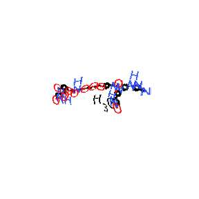 Cn1cc(-c2ccc(N(C(=O)NCc3ccc(OCCOCCOCCNC(=O)COc4cccc5c4C(=O)N(C4CCC(=O)NC4=O)C5=O)cc3)[C@H]3CC[C@H](Nc4ccc(C#N)cn4)CC3)cc2)ccc1=O